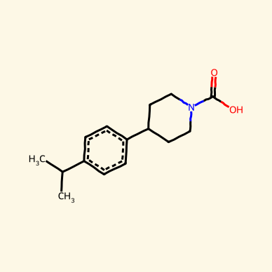 CC(C)c1ccc(C2CCN(C(=O)O)CC2)cc1